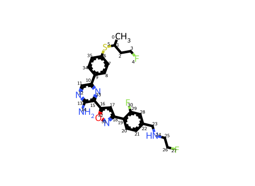 CC(CCF)Sc1ccc(-c2cnc(N)c(-c3cc(-c4ccc(CNCCF)cc4F)no3)n2)cc1